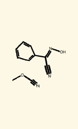 COC#N.N#CC(=NO)c1ccccc1